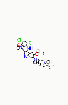 COc1cc(Nc2c(C#N)cnc3cc(N(C)CCCN(C)C)c(OC)cc23)c(Cl)cc1Cl